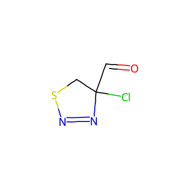 O=CC1(Cl)CSN=N1